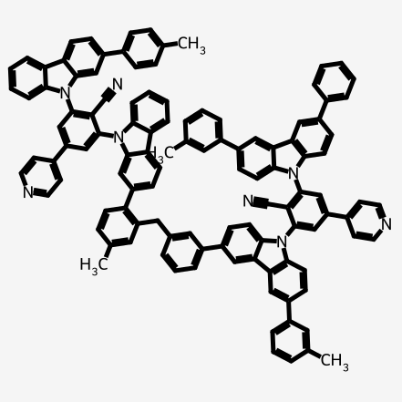 Cc1ccc(-c2ccc3c4ccccc4n(-c4cc(-c5ccncc5)cc(-n5c6ccccc6c6ccc(-c7ccc(C)cc7Cc7cccc(-c8ccc9c(c8)c8cc(-c%10cccc(C)c%10)ccc8n9-c8cc(-c9ccncc9)cc(-n9c%10ccc(-c%11ccccc%11)cc%10c%10cc(-c%11cccc(C)c%11)ccc%109)c8C#N)c7)cc65)c4C#N)c3c2)cc1